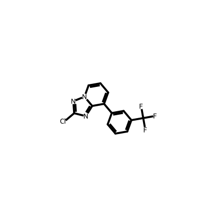 FC(F)(F)c1cccc(-c2cccn3nc(Cl)nc23)c1